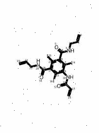 C=CCNC(=O)c1c(I)c(NC(=O)C=C)c(I)c(C(=O)NCC=C)c1I